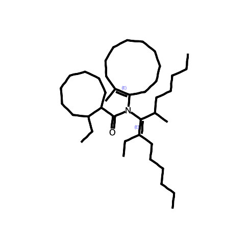 CCCCCC/C(CC)=C(\C(C)CCCCC)N(C(=O)C1CCCCCCCC1CC)/C1=C(\C)CCCCCCCCC1